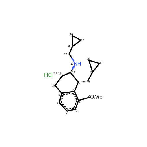 COc1cccc2c1[C@@H](CC1CC1)[C@H](NCC1CC1)CC2.Cl